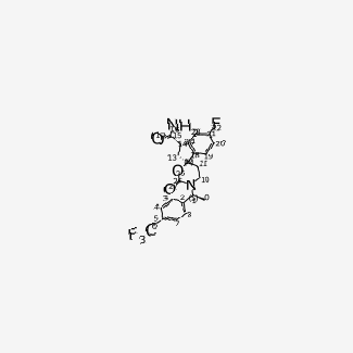 C[C@@H](c1ccc(C(F)(F)F)cc1)N1CC[C@](CCC(N)=O)(c2ccc(F)cc2)OC1=O